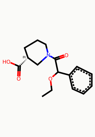 CCOC(C(=O)N1CCC[C@@H](C(=O)O)C1)c1ccccc1